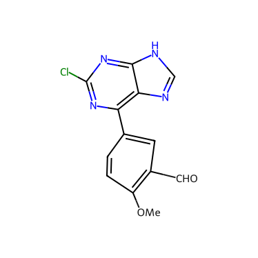 COc1ccc(-c2nc(Cl)nc3[nH]cnc23)cc1C=O